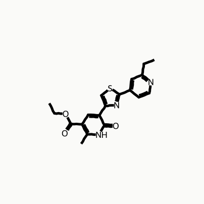 CCOC(=O)c1cc(-c2csc(-c3ccnc(CC)c3)n2)c(=O)[nH]c1C